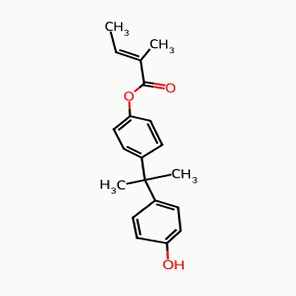 CC=C(C)C(=O)Oc1ccc(C(C)(C)c2ccc(O)cc2)cc1